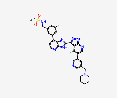 CS(=O)(=O)NCc1cc(F)cc(-c2ccnc3[nH]c(-c4n[nH]c5ncc(-c6cncc(CN7CCCCC7)c6)c(F)c45)nc23)c1